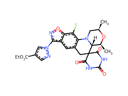 CCOC(=O)c1cnn(-c2noc3c(F)c4c(cc23)CC2(C(=O)NC(=O)NC2=O)[C@H]2[C@H](C)O[C@H](C)CN42)c1